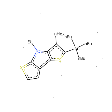 CCCCCCc1[c]([Sn]([CH2]CCC)([CH2]CCC)[CH2]CCC)sc2c3ccsc3n(CC)c12